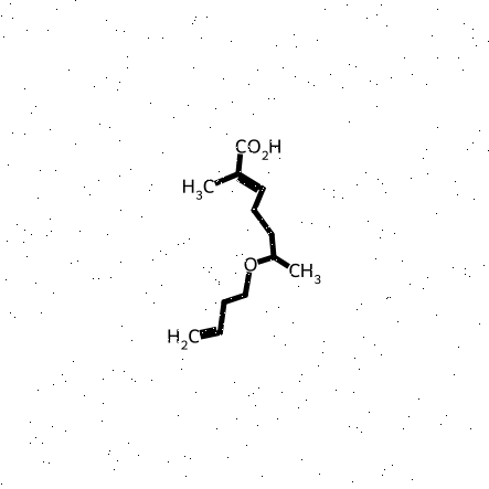 C=CCCOC(C)CCC=C(C)C(=O)O